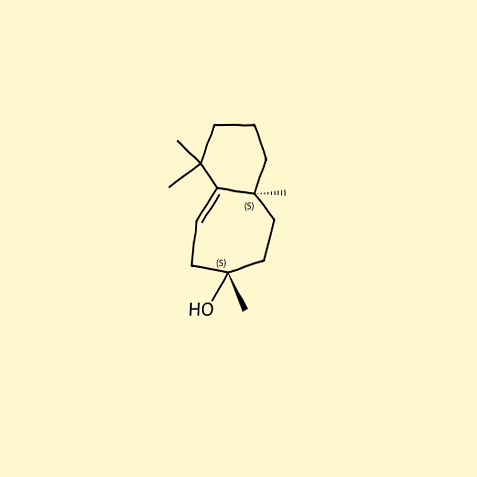 CC1(C)CCC[C@@]2(C)CC[C@](C)(O)CC=C12